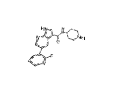 O=C(NC1CCNCC1)c1c[nH]c2ncc(-c3cccnc3F)cc12